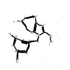 CC(C)Sc1nc2ncc(I)cc2n1Cc1cc(F)cc(F)c1